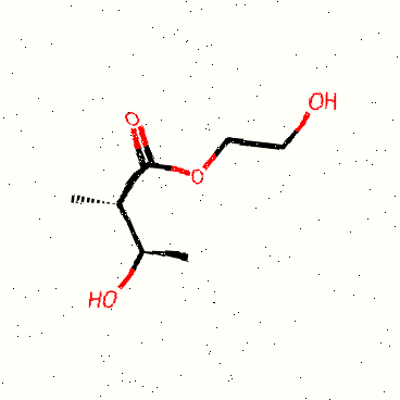 C[C@H](C(=O)OCCO)[C@@H](C)O